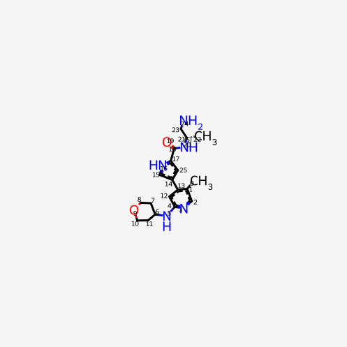 Cc1cnc(NC2CCOCC2)cc1-c1c[nH]c(C(=O)N[C@@H](C)CN)c1